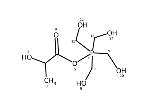 CC(O)C(=O)OP(CO)(CO)(CO)CO